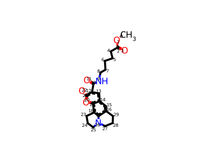 COC(=O)CCCCCNC(=O)c1cc2cc3c4c(c2oc1=O)CCCN4CCC3